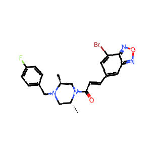 C[C@@H]1CN(Cc2ccc(F)cc2)[C@@H](C)CN1C(=O)/C=C/c1cc(Br)c2nonc2c1